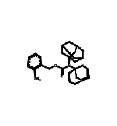 O=C(OCc1ccccc1[N+](=O)[O-])N(C12CC=C=C(CCC1)C2)C12CC3CC(CC(C3)C1)C2